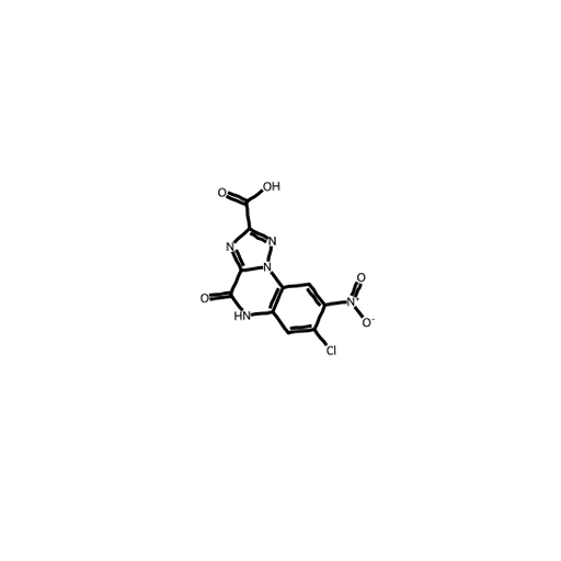 O=C(O)c1nc2c(=O)[nH]c3cc(Cl)c([N+](=O)[O-])cc3n2n1